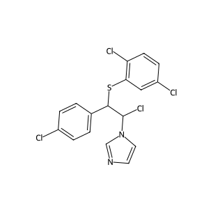 Clc1ccc(C(Sc2cc(Cl)ccc2Cl)C(Cl)n2ccnc2)cc1